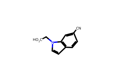 N#Cc1ccc2ccn(CC(=O)O)c2c1